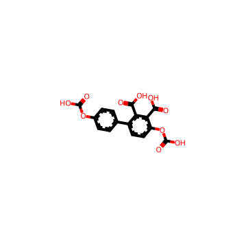 O=C(O)Oc1ccc(-c2ccc(OC(=O)O)c(C(=O)O)c2C(=O)O)cc1